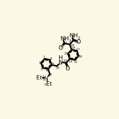 CCN(CC)Cc1ccccc1CNC(=O)c1cccc(C(C(N)=O)C(N)=O)c1